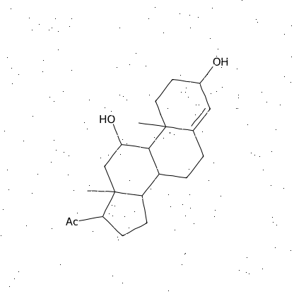 CC(=O)C1CCC2C3CCC4=CC(O)CCC4(C)C3C(O)CC12C